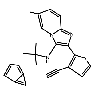 C#Cc1ccsc1-c1nc2ccc(C)cn2c1NC(C)(C)C.c1cc2cc-2c1